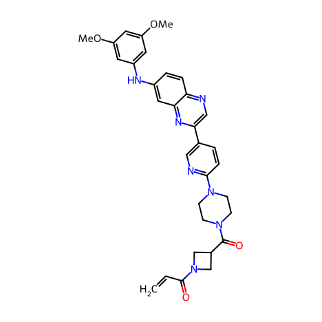 C=CC(=O)N1CC(C(=O)N2CCN(c3ccc(-c4cnc5ccc(Nc6cc(OC)cc(OC)c6)cc5n4)cn3)CC2)C1